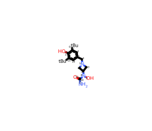 CC(C)(C)c1cc(CN2CC(N(O)C(N)=O)C2)cc(C(C)(C)C)c1O